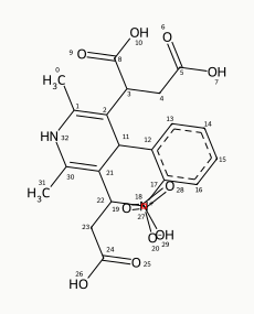 CC1=C(C(CC(=O)O)C(=O)O)C(c2ccccc2[N+](=O)[O-])C(C(CC(=O)O)C(=O)O)=C(C)N1